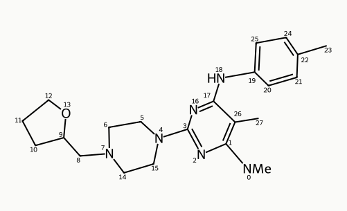 CNc1nc(N2CCN(CC3CCCO3)CC2)nc(Nc2ccc(C)cc2)c1C